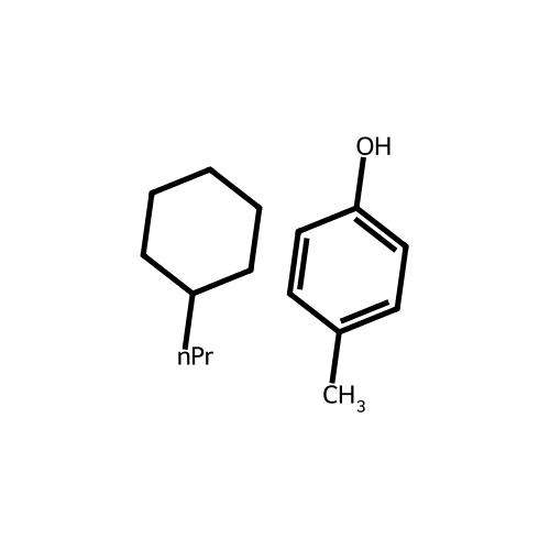 CCCC1CCCCC1.Cc1ccc(O)cc1